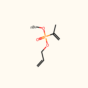 C=CCOP(=O)(OCCCC)C(=C)C